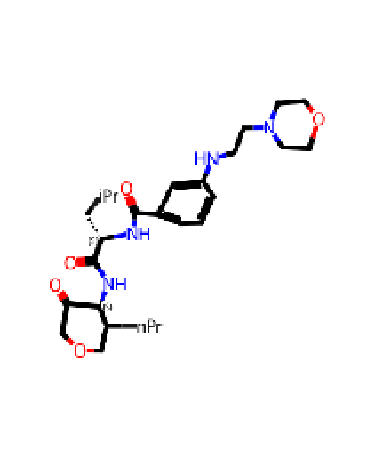 CCCC1COCC(=O)[C@H]1NC(=O)[C@H](CC(C)C)NC(=O)c1cccc(NCCN2CCOCC2)c1